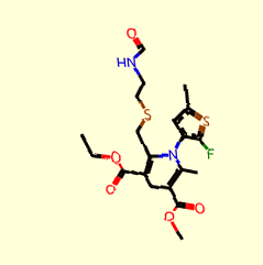 CCOC(=O)C1=C(CSCCNC=O)N(c2cc(C)sc2F)C(C)=C(C(=O)OC)C1